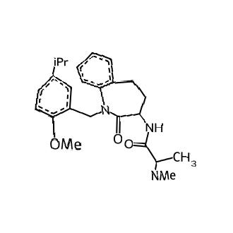 CNC(C)C(=O)NC1CCc2ccccc2N(Cc2cc(C(C)C)ccc2OC)C1=O